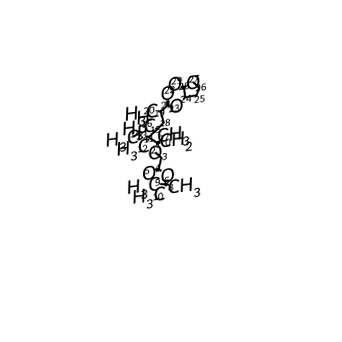 C=C(OCC(=O)OC(C)(C)C)C(C)(PC)C(C)(C)CC(C)C(=O)OC1CCOC1=O